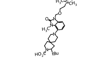 Cn1c(=O)n(COCC[Si](C)(C)C)c2cccc(N3CCC4(CC3)CCN(C(=O)O)C(C(C)(C)C)C4)c21